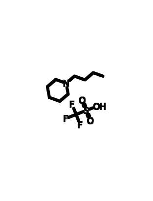 CCCCN1CCCCC1.O=S(=O)(O)C(F)(F)F